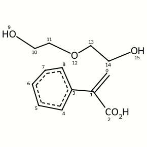 C=C(C(=O)O)c1ccccc1.OCCOCCO